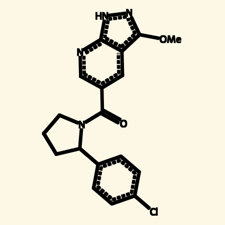 COc1n[nH]c2ncc(C(=O)N3CCCC3c3ccc(Cl)cc3)cc12